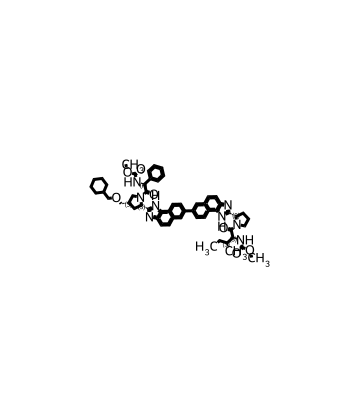 CC[C@H](C)[C@H](NC(=O)OC)C(=O)N1CCC[C@H]1c1nc2ccc3cc(-c4ccc5c(ccc6nc([C@@H]7C[C@H](COCC8CCCCC8)CN7C(=O)[C@H](NC(=O)OC)c7ccccc7)[nH]c65)c4)ccc3c2[nH]1